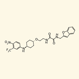 O=C(NCCO[C@H]1CC[C@H](Nc2ccc([N+](=O)[O-])c(C(F)(F)F)c2)CC1)C(=O)NCc1cc2ccccc2o1